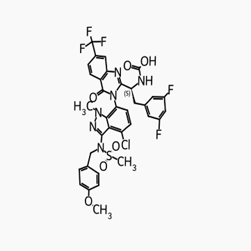 COc1ccc(CN(c2nn(C)c3c(-n4c([C@H](Cc5cc(F)cc(F)c5)NC(=O)O)nc5cc(C(F)(F)F)ccc5c4=O)ccc(Cl)c23)S(C)(=O)=O)cc1